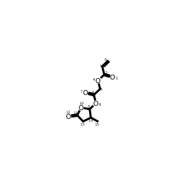 C=CC(=O)OCC(=O)OC1OC(=O)CC1C